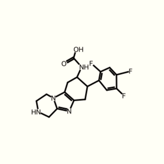 O=C(O)NC1Cc2c(nc3n2CCNC3)CC1c1cc(F)c(F)cc1F